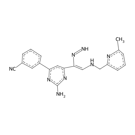 Cc1cccc(CN/C=C(\N=N)c2cc(-c3cccc(C#N)c3)nc(N)n2)n1